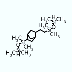 C[SiH](C)O[Si](C)(C)CCC1CC2CC1CC2[Si](C)(C)O[SiH](C)C